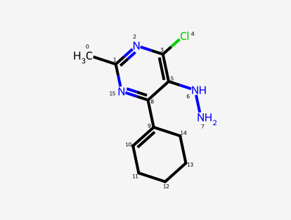 Cc1nc(Cl)c(NN)c(C2=CCCCC2)n1